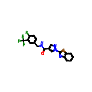 O=C(NCc1ccc(F)c(C(F)(F)F)c1)c1cnn(-c2nc3ccccc3s2)c1